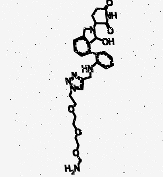 NCOCCOCCOCCn1cc(CNc2ccccc2-c2cccc3c2C(O)N(C2CCC(=O)NC2=O)C3)nn1